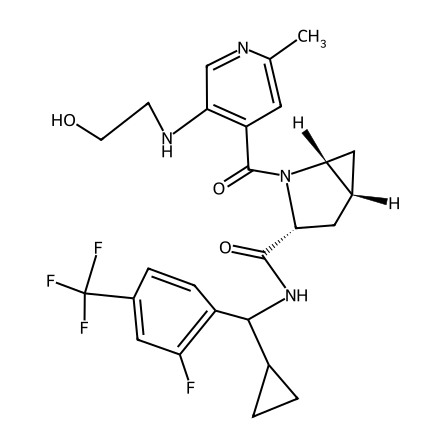 Cc1cc(C(=O)N2[C@@H](C(=O)NC(c3ccc(C(F)(F)F)cc3F)C3CC3)C[C@H]3C[C@H]32)c(NCCO)cn1